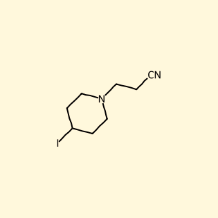 N#CCCN1CCC(I)CC1